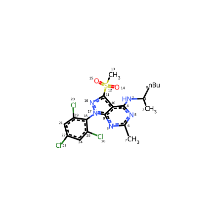 CCCCC(C)Nc1nc(C)nc2c1c(S(C)(=O)=O)nn2-c1c(Cl)cc(Cl)cc1Cl